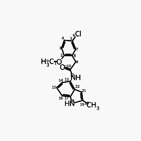 COc1ccc(Cl)cc1CC(=O)Nc1cccc2[nH]c(C)cc12